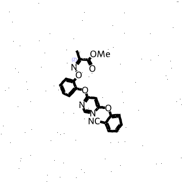 COC(=O)/C(C)=N\Oc1ccccc1Oc1cc(Oc2ccccc2C#N)ncn1